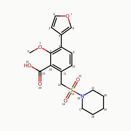 COc1c(-c2ccoc2)ccc(CS(=O)(=O)N2CCCCC2)c1C(=O)O